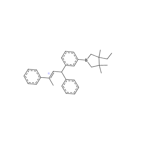 CCC1(C)CB(c2cccc(C(/C=C(\C)c3ccccc3)c3ccccc3)c2)CC1(C)C